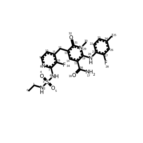 CCNS(=O)(=O)Nc1nccc(Cc2cc(C(N)=O)c(Nc3ccc(I)cc3F)n(C)c2=O)c1F